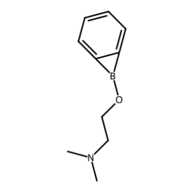 CN(C)CCOB1c2ccccc21